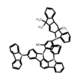 CC1(C)C2=CC3N(c4cc(C#N)c(-n5c6ccc(-n7c8ccccc8c8ccccc87)cc6c6ccc7c8ccccc8n(-c8ccccc8)c7c65)cc4C#N)c4ccccc4C3(C)CC2c2ccccc21